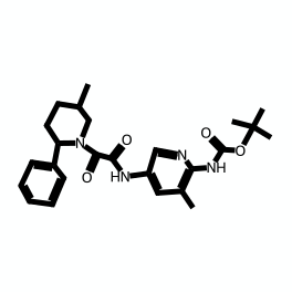 Cc1cc(NC(=O)C(=O)N2CC(C)CCC2c2ccccc2)cnc1NC(=O)OC(C)(C)C